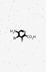 Nc1cnc(C(=O)O)c(F)c1Br